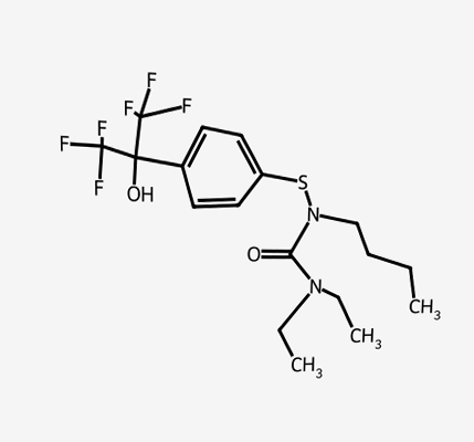 CCCCN(Sc1ccc(C(O)(C(F)(F)F)C(F)(F)F)cc1)C(=O)N(CC)CC